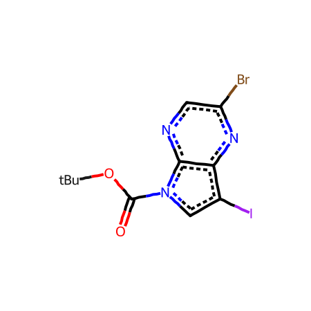 CC(C)(C)OC(=O)n1cc(I)c2nc(Br)cnc21